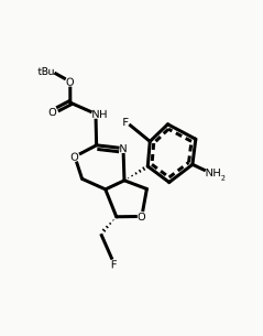 CC(C)(C)OC(=O)NC1=N[C@@]2(c3cc(N)ccc3F)CO[C@H](CF)C2CO1